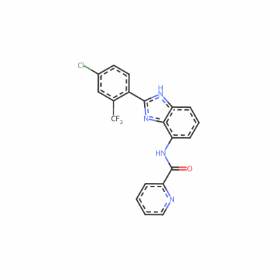 O=C(Nc1cccc2[nH]c(-c3ccc(Cl)cc3C(F)(F)F)nc12)c1ccccn1